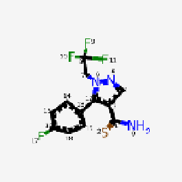 NC(=S)c1cnn(CC(F)(F)F)c1-c1ccc(F)cc1